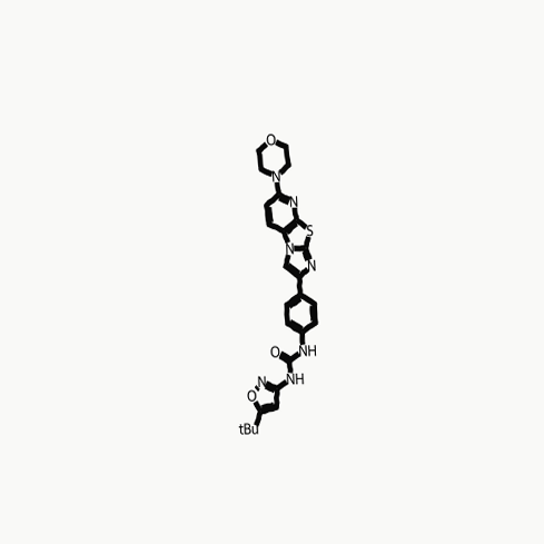 CC(C)(C)c1cc(NC(=O)Nc2ccc(-c3cn4c(n3)sc3nc(N5CCOCC5)ccc34)cc2)no1